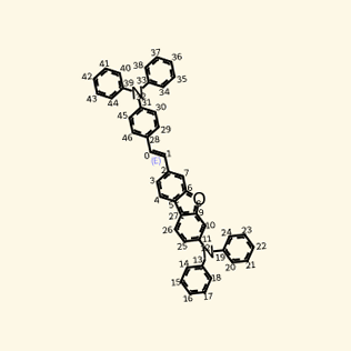 C(=C\c1ccc2c(c1)oc1cc(N(c3ccccc3)c3ccccc3)ccc12)/c1ccc(N(c2ccccc2)c2ccccc2)cc1